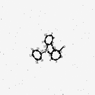 Cc1cccc2c1c1ccccc1p2-c1ccccc1